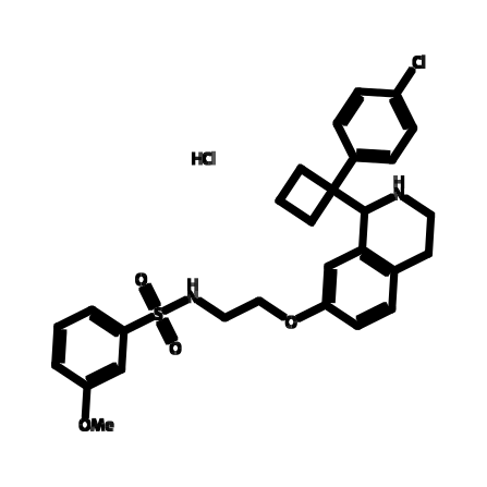 COc1cccc(S(=O)(=O)NCCOc2ccc3c(c2)C(C2(c4ccc(Cl)cc4)CCC2)NCC3)c1.Cl